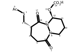 CC(=O)SC[C@H]1CCC(=O)N2CCC[C@H](OC(=O)O)N2C1=O